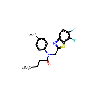 CCOC(=O)CCC(=O)N(Cc1nc2ccc(F)c(F)c2s1)c1ccc(SC)cc1